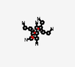 N#Cc1cccc(-c2ccc3c(c2)c2cc(-c4cccc(C#N)c4)ccc2n3-c2cc(C#N)ccc2-c2ccc(-c3ccc(C#N)cc3C(F)(F)F)cc2-n2c3ccc(-c4cccc(C#N)c4)cc3c3cc(-c4cccc(C#N)c4)ccc32)c1